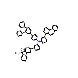 CC1(C)c2ccccc2-c2cc(-c3cccc(N(c4ccc(-c5ccc(-c6ccccc6)c(-c6ccccc6)c5)cc4)c4cccc(-c5cccc6c5ccc5ccccc56)c4)c3)ccc21